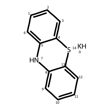 [KH].c1ccc2c(c1)Nc1ccccc1S2